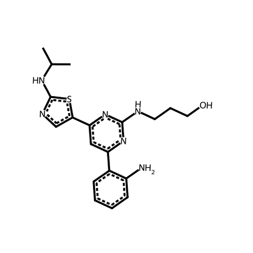 CC(C)Nc1ncc(-c2cc(-c3ccccc3N)nc(NCCCO)n2)s1